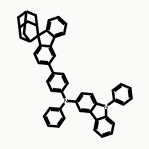 c1ccc(N(c2ccc(-c3ccc4c(c3)-c3ccccc3C43C4CC5CC(C4)CC3C5)cc2)c2ccc3c(c2)c2ccccc2n3-c2ccccc2)cc1